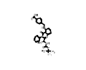 C[C@H](NC(=O)OC(C)(C)C)c1nc2cccc(NCc3ccc(C(=O)O)cc3)c2c(=O)n1-c1ccccc1